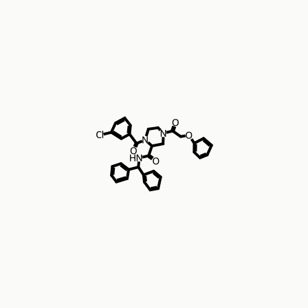 O=C(NC(c1ccccc1)c1ccccc1)C1CN(C(=O)COc2ccccc2)CCN1C(=O)c1cccc(Cl)c1